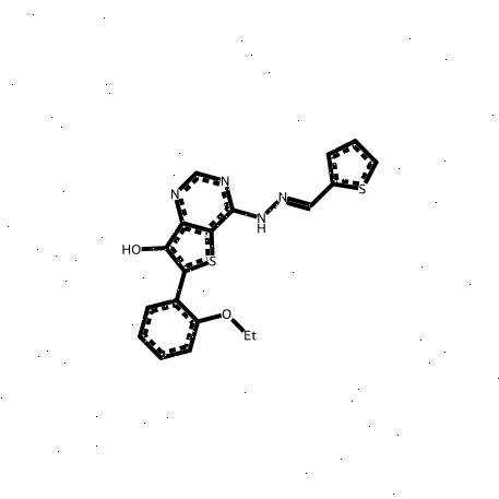 CCOc1ccccc1-c1sc2c(NN=Cc3cccs3)ncnc2c1O